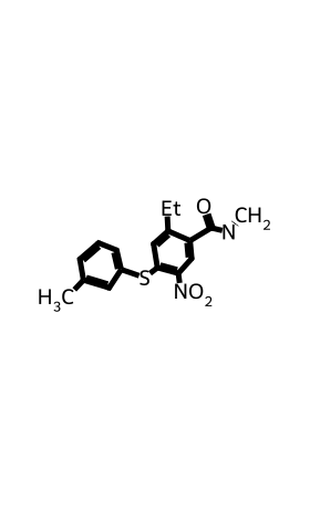 C=NC(=O)c1cc([N+](=O)[O-])c(Sc2cccc(C)c2)cc1CC